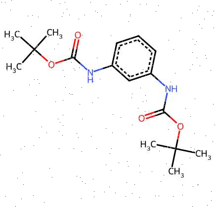 CC(C)(C)OC(=O)Nc1cccc(NC(=O)OC(C)(C)C)c1